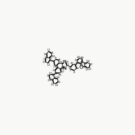 c1cc(-c2cnc3c4ccc(-c5cccc6ccccc56)cc4c4cc(-c5cccc6ccccc56)ccc4c3n2)cc(-c2cccc3c2oc2ccccc23)c1